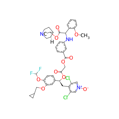 COc1ccccc1C(Nc1cccc(C(=O)OCC(=O)O[C@@H](Cc2c(Cl)c[n+]([O-])cc2Cl)c2ccc(OC(F)F)c(OCC3CC3)c2)c1)C(=O)O[C@H]1CN2CCC1CC2